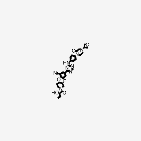 C=C[C@H](O)C(=O)N1CC[C@H](Oc2ccc(-c3ncnc(Nc4ccc(N5CCN(C6COC6)CC5=O)cc4)n3)cc2C#N)[C@H](F)C1